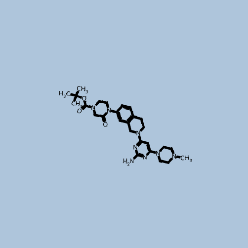 CN1CCN(c2cc(N3CCc4ccc(N5CCN(C(=O)OC(C)(C)C)CC5=O)cc4C3)nc(N)n2)CC1